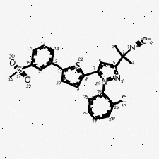 [C-]#[N+]C(C)(C)c1cc(-c2ccc(-c3cccc(S(C)(=O)=O)c3)s2)n(-c2ccccc2Cl)n1